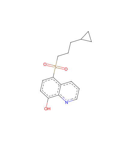 O=S(=O)(CCCC1CC1)c1ccc(O)c2ncccc12